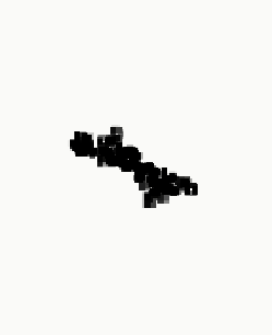 N#CC1(c2ccc(-c3ccc4c(c3)C[C@H]3[C@H](Cn5ccnn5)OC(=O)N43)cn2)[C@@H]2CN(C=O)C[C@@H]21